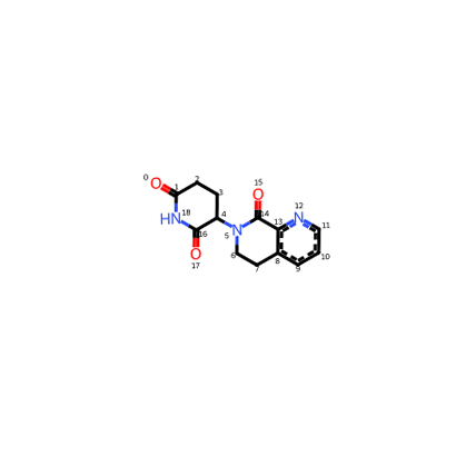 O=C1CCC(N2CCc3cccnc3C2=O)C(=O)N1